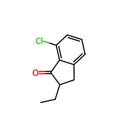 CCC1Cc2cccc(Cl)c2C1=O